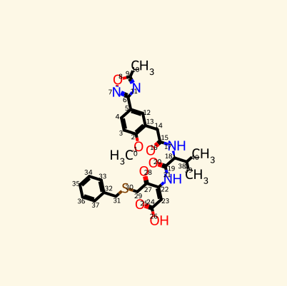 COc1ccc(-c2noc(C)n2)cc1CC(=O)N[C@H](C(=O)N/C(=C/C(=O)O)C(=O)CSCc1ccccc1)C(C)C